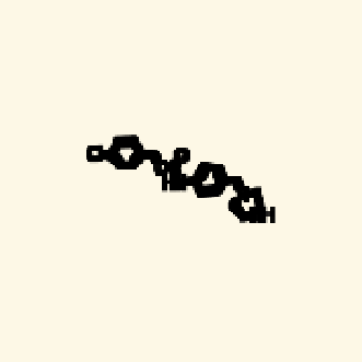 O=C(Nc1ccc(CN2CCNCC2)cc1)OCc1ccc(Cl)cc1